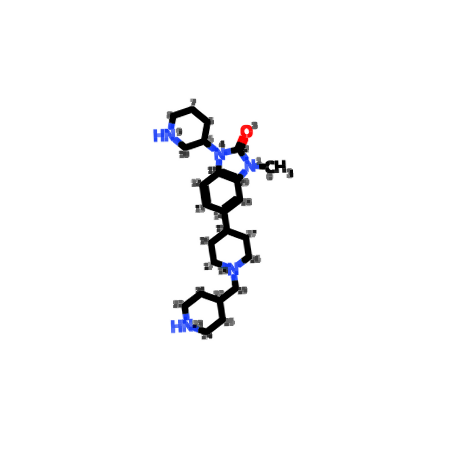 Cn1c(=O)n(C2CCCNC2)c2ccc(C3CCN(CC4CCNCC4)CC3)cc21